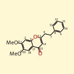 COc1cc2oc(CCc3ccccc3)cc(=O)c2cc1OC